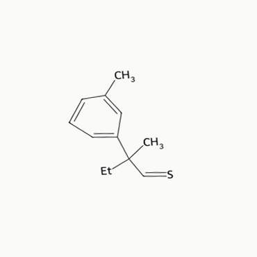 CCC(C)(C=S)c1cccc(C)c1